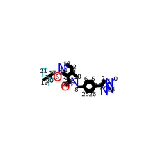 Cn1cc(-c2ccc(CN3Cc4ccnc(OCC(C)(F)F)c4C3=O)cc2)nn1